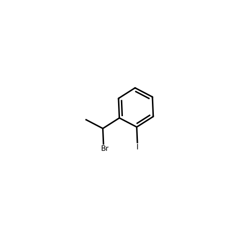 CC(Br)c1ccccc1I